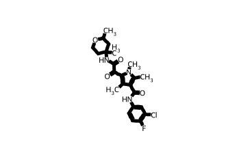 Cc1c(C(=O)Nc2ccc(F)c(Cl)c2)c(C)n(C)c1C(=O)C(=O)NC1(C)CCOC(C)C1